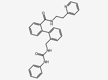 O=C(NCc1ccccc1-c1ccccc1C(=O)NCCc1ccccn1)Nc1ccccc1